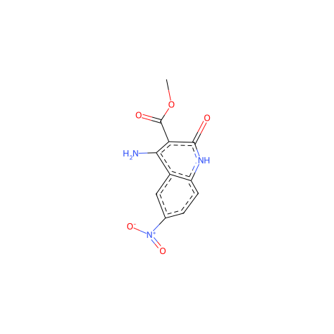 COC(=O)c1c(N)c2cc([N+](=O)[O-])ccc2[nH]c1=O